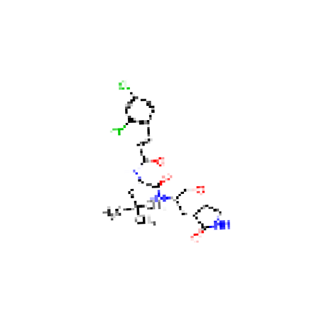 CC(C)(C)C[C@H](NC(=O)/C=C/c1ccc(Cl)cc1Cl)C(=O)NC(C=O)C[C@@H]1CCNC1=O